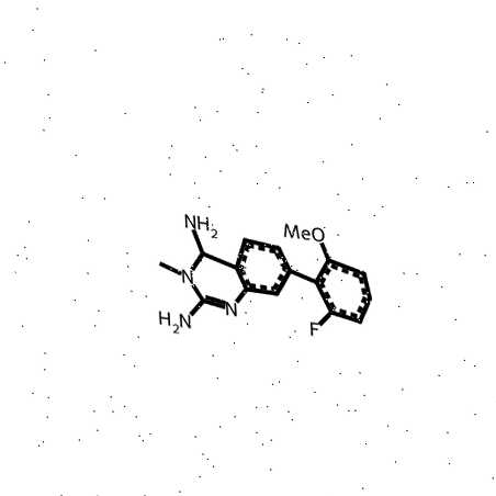 COc1cccc(F)c1-c1ccc2c(c1)N=C(N)N(C)C2N